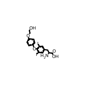 NC(Cc1cc(I)c(Oc2ccc(OCCO)cc2)c(I)c1)C(=O)O